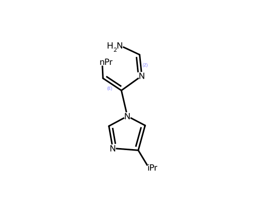 CCC/C=C(\N=C/N)n1cnc(C(C)C)c1